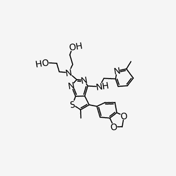 Cc1cccc(CNc2nc(N(CCO)CCO)nc3sc(C)c(-c4ccc5c(c4)OCO5)c23)n1